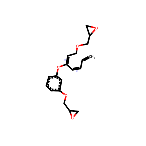 C=C/C=C\C(=C/COCC1CO1)Oc1cccc(OCC2CO2)c1